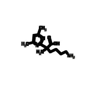 Cc1cc(C)nc(C(N)(CCCCN)C(=O)O)n1